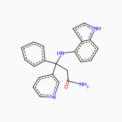 NC(=O)CC(Nc1cccc2[nH]ccc12)(c1ccccc1)c1cccnc1